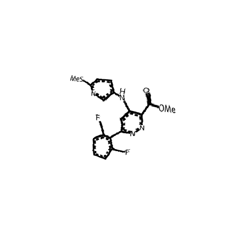 COC(=O)c1nnc(-c2c(F)cccc2F)cc1Nc1ccc(SC)nc1